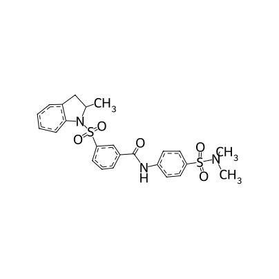 CC1Cc2ccccc2N1S(=O)(=O)c1cccc(C(=O)Nc2ccc(S(=O)(=O)N(C)C)cc2)c1